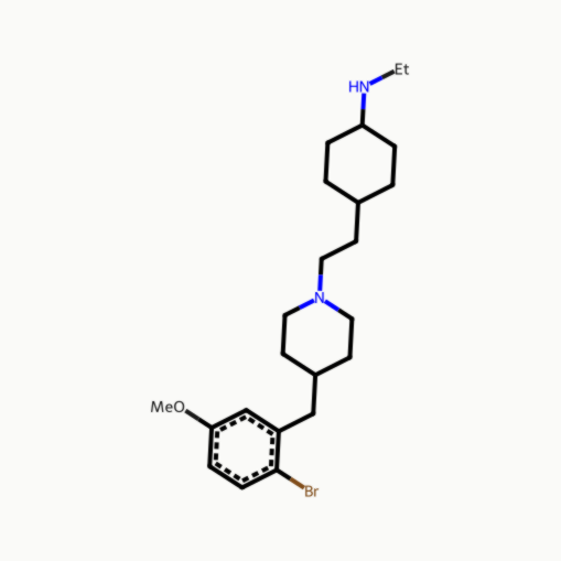 CCNC1CCC(CCN2CCC(Cc3cc(OC)ccc3Br)CC2)CC1